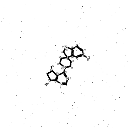 C[C@@H]1C[C@@H](F)c2ncnc(N3CCC4(CC3)CNc3ccc(Cl)cc34)c21